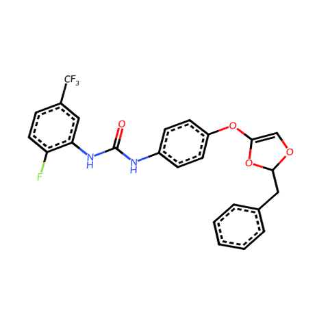 O=C(Nc1ccc(OC2=COC(Cc3ccccc3)O2)cc1)Nc1cc(C(F)(F)F)ccc1F